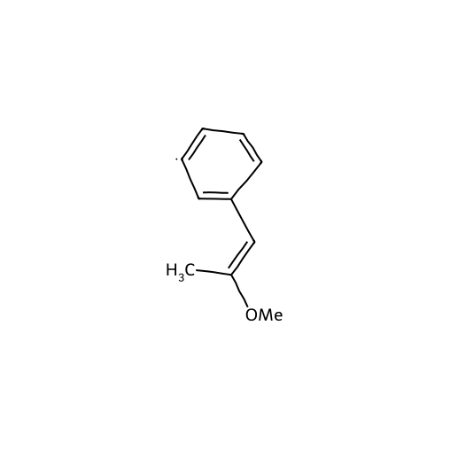 COC(C)=Cc1c[c]ccc1